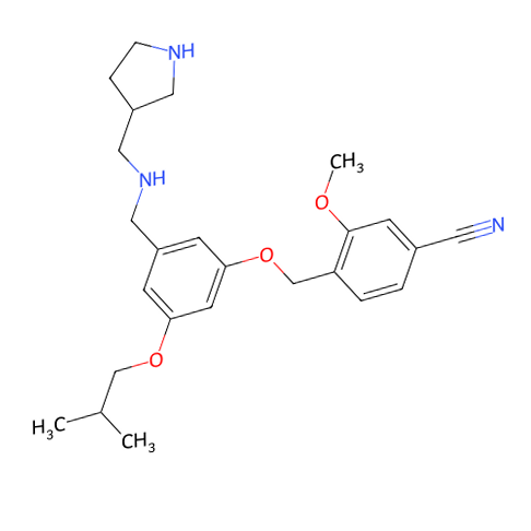 COc1cc(C#N)ccc1COc1cc(CNCC2CCNC2)cc(OCC(C)C)c1